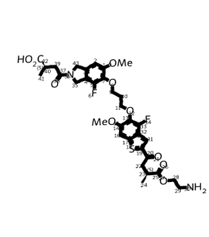 COc1cc2c(c(F)c1OCCCOc1c(OC)cc3sc(C(=O)C[C@H](C)C(=O)OCCN)cc3c1F)CN(C(=O)C[C@H](C)C(=O)O)C2